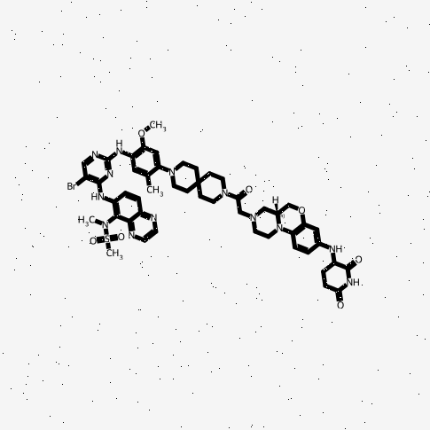 COc1cc(N2CCC3(CCN(C(=O)CN4CCN5c6ccc(NC7CCC(=O)NC7=O)cc6OC[C@H]5C4)CC3)CC2)c(C)cc1Nc1ncc(Br)c(Nc2ccc3nccnc3c2N(C)S(C)(=O)=O)n1